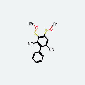 CC(C)OSc1cc(C#N)c(-c2[c]cccc2)c(C#N)c1SOC(C)C